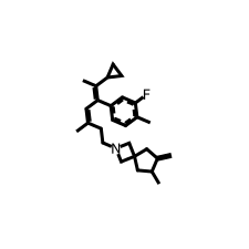 C=C1CC2(CC1C)CN(CC/C(C)=C\C(=C(/C)C1CC1)c1ccc(C)c(F)c1)C2